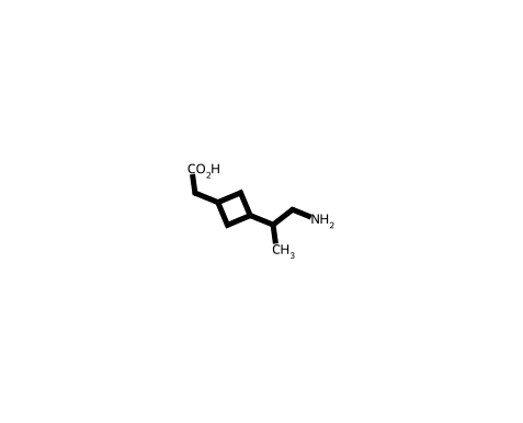 CC(CN)C1CC(CC(=O)O)C1